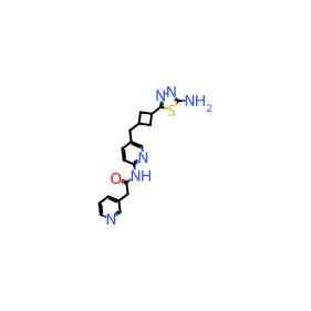 Nc1nnc(C2CC(Cc3ccc(NC(=O)Cc4cccnc4)nc3)C2)s1